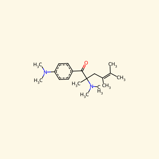 CC(C)=C(C)CC(C)(C(=O)c1ccc(N(C)C)cc1)N(C)C